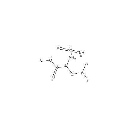 COC(=O)C(N)CC(C)C.N=C=O